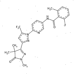 Cc1cccc(F)c1C(=O)Nc1ccc(-n2nc(C3=NN(C)C(=O)C3(C)C)cc2C(F)(F)F)nc1